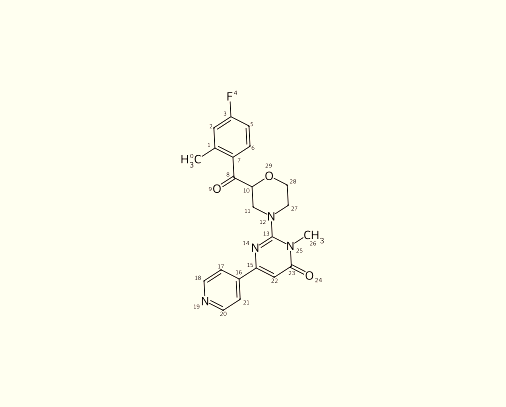 Cc1cc(F)ccc1C(=O)C1CN(c2nc(-c3ccncc3)cc(=O)n2C)CCO1